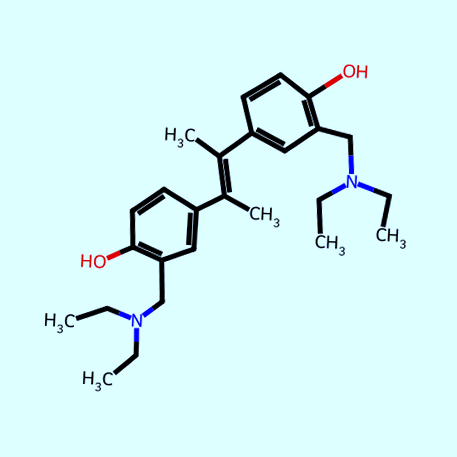 CCN(CC)Cc1cc(C(C)=C(C)c2ccc(O)c(CN(CC)CC)c2)ccc1O